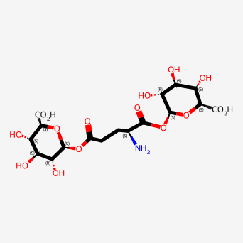 N[C@@H](CCC(=O)O[C@@H]1O[C@H](C(=O)O)[C@@H](O)[C@H](O)[C@H]1O)C(=O)O[C@@H]1O[C@H](C(=O)O)[C@@H](O)[C@H](O)[C@H]1O